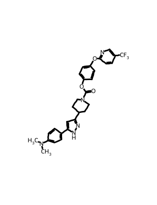 CN(C)c1ccc(-c2cc(C3CCN(C(=O)Oc4ccc(Oc5ccc(C(F)(F)F)cn5)cc4)CC3)n[nH]2)cc1